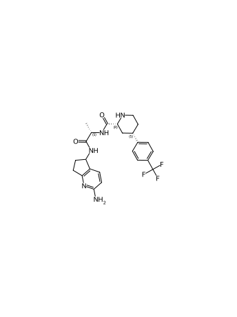 C[C@H](NC(=O)[C@H]1C[C@@H](c2ccc(C(F)(F)F)cc2)CCN1)C(=O)NC1CCc2nc(N)ccc21